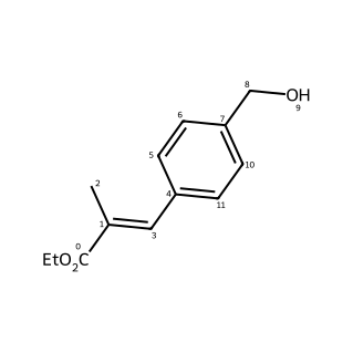 CCOC(=O)/C(C)=C/c1ccc(CO)cc1